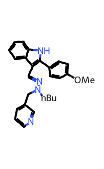 CCCCN(Cc1cccnc1)N=Cc1c(-c2ccc(OC)cc2)[nH]c2ccccc12